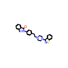 Cc1ccccc1C(=O)Nc1ccc(CCN2CCN(c3nsc4ccccc34)CC2)cc1